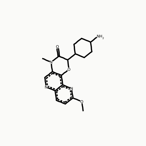 COc1ccc2ncc3c(c2n1)OC(C1CCC(N)CC1)C(=O)N3C